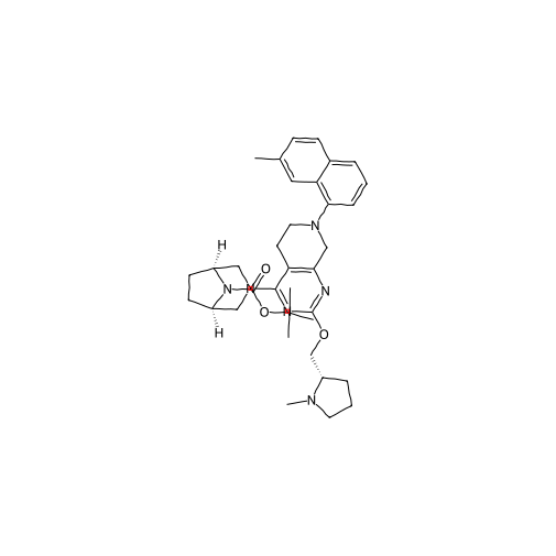 Cc1ccc2cccc(N3CCc4c(nc(OC[C@@H]5CCCN5C)nc4N4C[C@H]5CC[C@@H](C4)N5C(=O)OC(C)(C)C)C3)c2c1